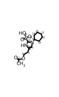 CC(=O)OCCC1=CN(C2CCCCC2)C(S(=O)(=O)O)N1